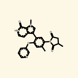 Cc1cc(Oc2cccnc2)c(-c2cn(C)c3c(=O)[nH]ccc23)cc1N1C(=O)CC(C)C1=O